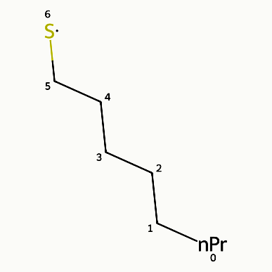 CCCCCCCC[S]